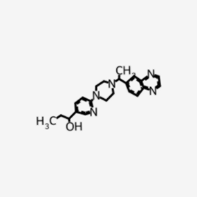 CCC(O)c1ccc(N2CCN(C(C)c3ccc4nccnc4c3)CC2)nc1